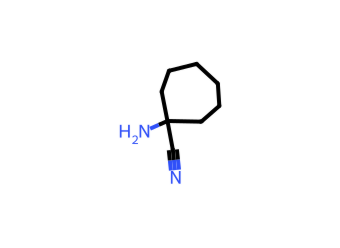 N#CC1(N)CCCCCC1